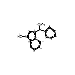 COC(c1ccccc1)c1cc(C#N)c2ccccn12